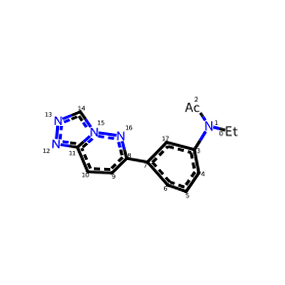 CCN(C(C)=O)c1cccc(-c2ccc3nncn3n2)c1